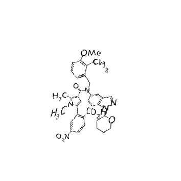 COc1cccc(CN(C(=O)c2cc(-c3cc([N+](=O)[O-])ccc3C(=O)O)n(C)c2C)c2ccc3c(cnn3C3CCCCO3)c2)c1C